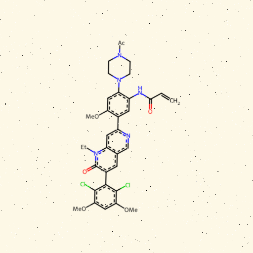 C=CC(=O)Nc1cc(-c2cc3c(cn2)cc(-c2c(Cl)c(OC)cc(OC)c2Cl)c(=O)n3CC)c(OC)cc1N1CCN(C(C)=O)CC1